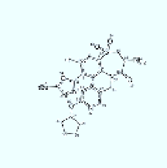 CC(C)(C)c1nnc(-c2cc3c(cc2F)S(=O)(=O)C[C@H](N)C(=O)N3Cc2ccc(OC3CCCC3)nc2)o1